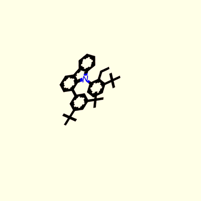 CCc1c(-n2c3ccccc3c3cccc(-c4cc(C(C)(C)C)cc(C(C)(C)C)c4)c32)cccc1C(C)(C)C